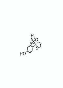 NS(=O)(=S)C1(c2ccc(O)cc2)CC=CS1